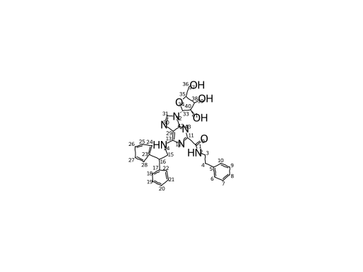 O=C(NCCc1ccccc1)c1nc(NCC(c2ccccc2)c2ccccc2)c2ncn([C@@H]3OC(CO)C(O)[C@H]3O)c2n1